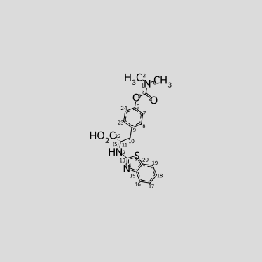 CN(C)C(=O)Oc1ccc(C[C@H](Nc2nc3ccccc3s2)C(=O)O)cc1